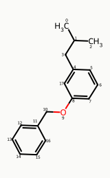 CC(C)Cc1cccc(OCc2ccccc2)c1